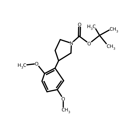 COc1ccc(OC)c(C2CCN(C(=O)OC(C)(C)C)C2)c1